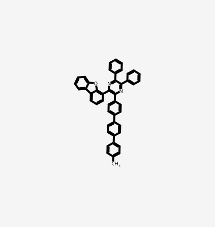 Cc1ccc(-c2ccc(-c3ccc(-c4nc(-c5ccccc5)c(-c5ccccc5)nc4-c4cccc5c4oc4ccccc45)cc3)cc2)cc1